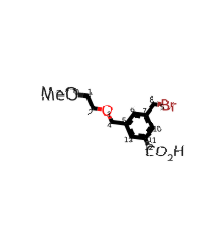 COCCOCc1cc(CBr)cc(C(=O)O)c1